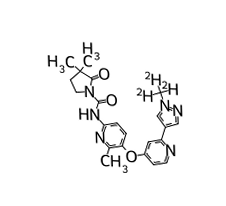 [2H]C([2H])([2H])n1cc(-c2cc(Oc3ccc(NC(=O)N4CCC(C)(C)C4=O)nc3C)ccn2)cn1